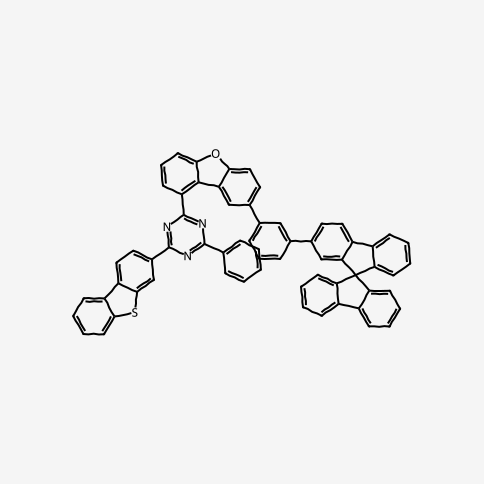 c1ccc(-c2nc(-c3ccc4c(c3)sc3ccccc34)nc(-c3cccc4oc5ccc(-c6cccc(-c7ccc8c(c7)C7(c9ccccc9-c9ccccc97)c7ccccc7-8)c6)cc5c34)n2)cc1